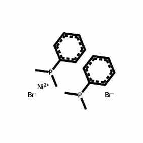 CP(C)c1ccccc1.CP(C)c1ccccc1.[Br-].[Br-].[Ni+2]